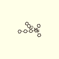 c1ccc(-c2ccc(-c3ccc(-c4cc(-c5ccccc5)nc(-c5ccccc5)n4)c4oc5cc6ccccc6cc5c34)cc2)cc1